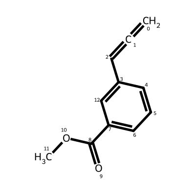 C=C=Cc1cccc(C(=O)OC)c1